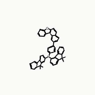 CC1(C)c2ccccc2-c2ccc(N(c3ccc(-c4ccc5ccc6oc7ccccc7c6c5c4)cc3)c3cccc4c3-c3ccccc3C4(C)C)cc21